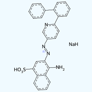 Nc1c(/N=N/c2ccc(-c3ccccc3-c3ccccc3)nc2)cc(S(=O)(=O)O)c2ccccc12.[NaH]